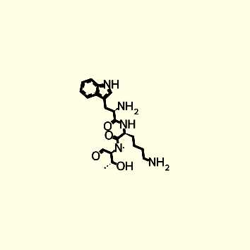 C[C@@H](O)[C@@H](C=O)[N]C(=O)[C@H](CCCCN)NC(=O)[C@@H](N)Cc1c[nH]c2ccccc12